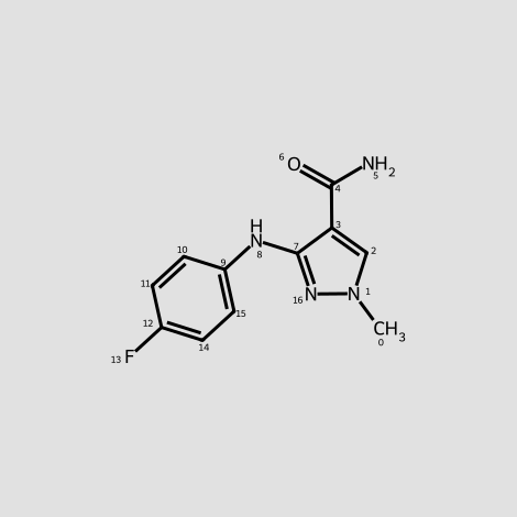 Cn1cc(C(N)=O)c(Nc2ccc(F)cc2)n1